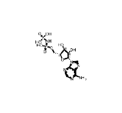 Nc1ncnc2c1ncn2[C@@H]1O[C@H](COP(=O)(O)NP(=O)(O)O)[C@@H](O)[C@H]1O